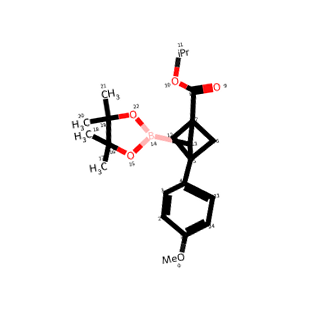 COc1ccc(C23CC(C(=O)OC(C)C)(C2)C3B2OC(C)(C)C(C)(C)O2)cc1